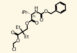 CCC(CC)(COC(=O)[C@@H](NC(=O)OCc1ccccc1)C(C)C)C(=O)OCCl